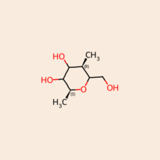 C[C@H]1C(CO)O[C@@H](C)C(O)C1O